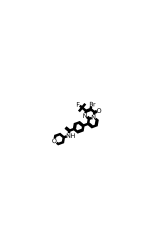 C=C(NC1CCOCC1)c1ccc(-c2cccn3c(=O)c(Br)c(C(C)(C)F)nc23)cc1